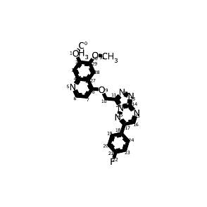 COc1cc2nccc(OCc3nnc4ncc(-c5ccc(F)cc5)nn34)c2cc1OC